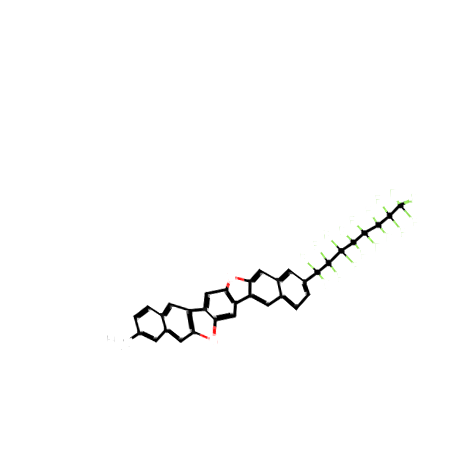 Cc1ccc2cc3c(cc2c1)oc1cc2c(cc13)oc1cc3cc(C(F)(F)C(F)(F)C(F)(F)C(F)(F)C(F)(F)C(F)(F)C(F)(F)C(F)(F)F)ccc3cc12